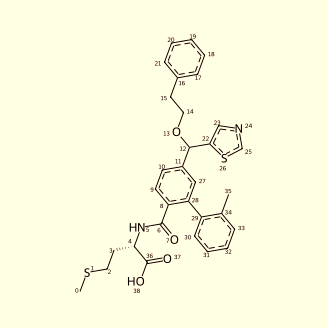 CSCC[C@H](NC(=O)c1ccc(C(OCCc2ccccc2)c2cncs2)cc1-c1ccccc1C)C(=O)O